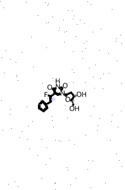 O=c1[nH]c(=O)n([C@H]2C[C@H](O)[C@@H](CO)O2)cc1/C(F)=C/c1ccccc1